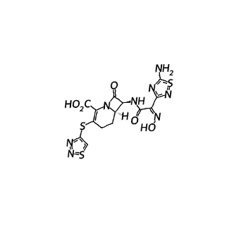 Nc1nc(/C(=N/O)C(=O)N[C@@H]2C(=O)N3C(C(=O)O)=C(Sc4csnn4)CC[C@H]23)ns1